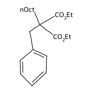 CCCCCCCCC(Cc1ccccc1)(C(=O)OCC)C(=O)OCC